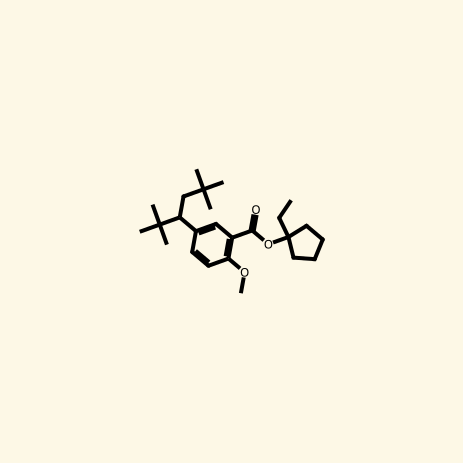 CCC1(OC(=O)c2cc(C(CC(C)(C)C)C(C)(C)C)ccc2OC)CCCC1